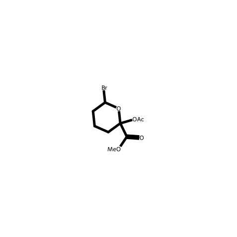 COC(=O)C1(OC(C)=O)CCCC(Br)O1